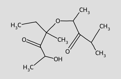 CCC(C)(OC(C)C(=O)C(C)C)C(=O)C(C)O